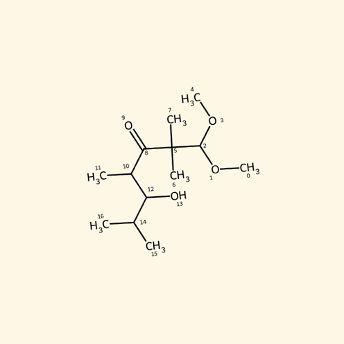 COC(OC)C(C)(C)C(=O)C(C)C(O)C(C)C